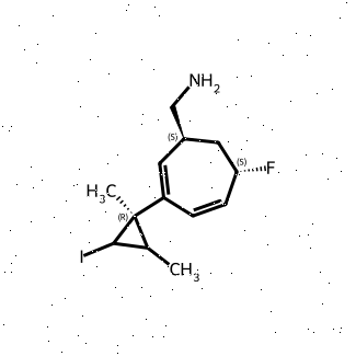 CC1C(I)[C@@]1(C)C1=C[C@@H](CN)C[C@H](F)C=C1